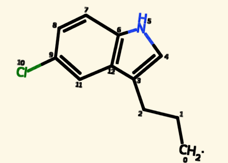 [CH2]CCc1c[nH]c2ccc(Cl)cc12